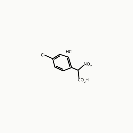 Cl.O=C(O)C(c1ccc(Cl)cc1)[N+](=O)[O-]